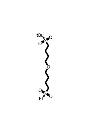 CCS(=O)(=O)CCCCOCCCCS(=O)(=O)C(C)(C)C